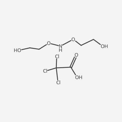 O=C(O)C(Cl)(Cl)Cl.OCCONOCCO